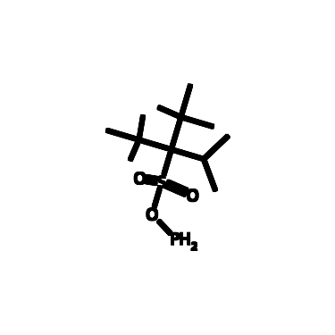 CC(C)C(C(C)(C)C)(C(C)(C)C)S(=O)(=O)OP